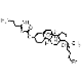 CC(C)CCC[C@@H](C)[C@H]1CC[C@H]2[C@@H]3CC=C4C[C@@H](OC(=O)N=C(N)CCN)CC[C@]4(C)[C@H]3CC[C@]12C